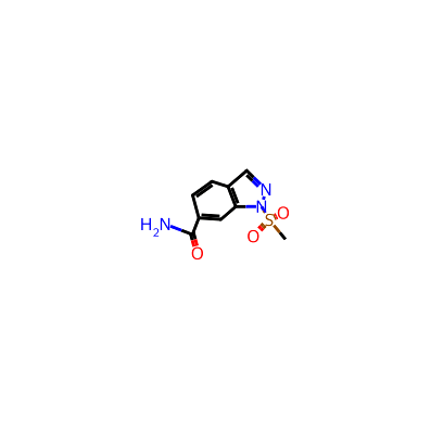 CS(=O)(=O)n1ncc2ccc(C(N)=O)cc21